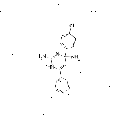 NC1=NC(N)(c2ccc(Cl)cc2)C=C(c2ccccc2)N1